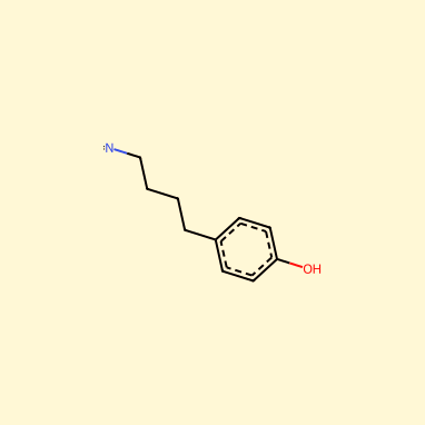 [N]CCCCc1ccc(O)cc1